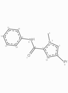 CC(C)c1cn(C)c(C(=O)Nc2ccccc2)n1